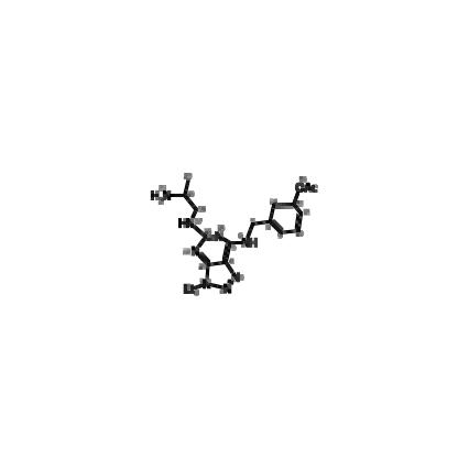 CCn1nnc2c(NCc3cccc(OC(C)=O)c3)nc(NCC(C)N)nc21